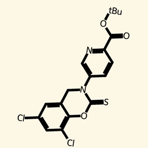 CC(C)(C)OC(=O)c1ccc(N2Cc3cc(Cl)cc(Cl)c3OC2=S)cn1